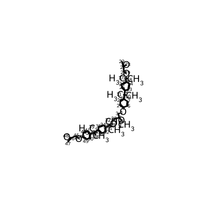 COC(COc1ccc(C(C)(C)c2ccc(C(C)(C)OCC3CO3)cc2)cc1)COC(C)(C)c1ccc(C(C)(C)c2ccc(OCC3CO3)cc2)cc1